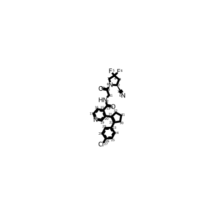 N#C[C@@H]1CC(F)(F)CN1C(=O)CNC(=O)c1ccncc1C1=C(c2ccc(Cl)cc2)CCC1